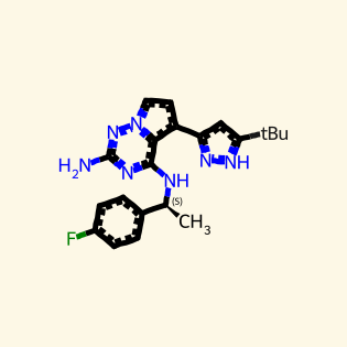 C[C@H](Nc1nc(N)nn2ccc(-c3cc(C(C)(C)C)[nH]n3)c12)c1ccc(F)cc1